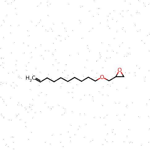 C=CCCCCCCCCOCC1CO1